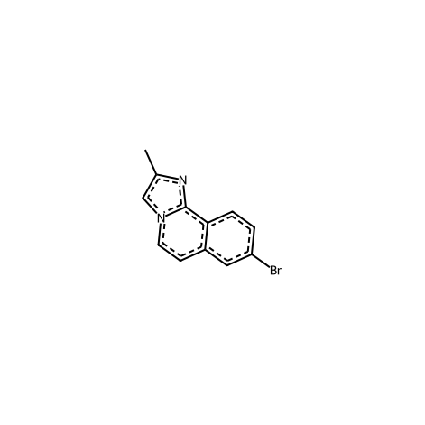 Cc1cn2ccc3cc(Br)ccc3c2n1